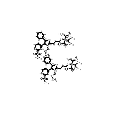 COCn1c(CCCO[Si](C(C)C)(C(C)C)C(C)C)nc(-c2ccccc2)c1-c1ccnc(S(C)(=O)=O)n1.COCn1c(CCCO[Si](C(C)C)(C(C)C)C(C)C)nc(-c2ccccc2)c1-c1ccnc(S(C)(=O)=O)n1